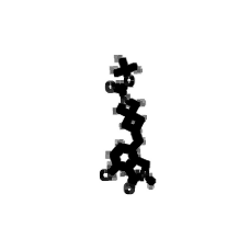 CN1Cc2c(C=C3CC4(C3)CN(C(=O)OC(C)(C)C)C4)ccc(Cl)c2C1=O